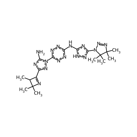 CC1C(c2nc(N)n(-c3nnc(Nc4nc(N5N=NC(C)(C)C5(C)C)n[nH]4)nn3)n2)=NC1(C)C